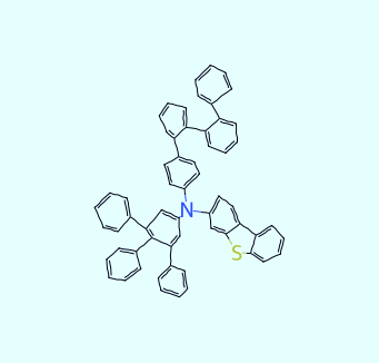 c1ccc(-c2ccccc2-c2ccccc2-c2ccc(N(c3cc(-c4ccccc4)c(-c4ccccc4)c(-c4ccccc4)c3)c3ccc4c(c3)sc3ccccc34)cc2)cc1